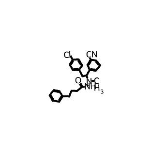 CN(NC(=O)CCCc1ccccc1)C(Cc1ccc(Cl)cc1)c1cccc(C#N)c1